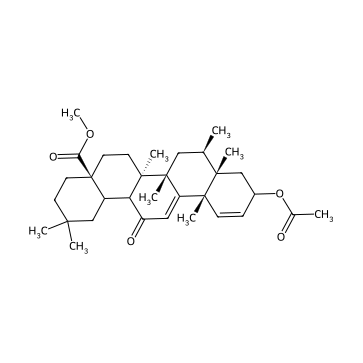 COC(=O)[C@]12CCC(C)(C)CC1C1C(=O)C=C3[C@@]4(C)C=CC(OC(C)=O)C[C@@]4(C)[C@H](C)C[C@@]3(C)[C@]1(C)CC2